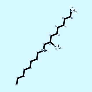 CCCCCCCCNCC(N)CCCCCCN